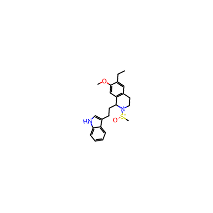 CCc1cc2c(cc1OC)C(CCc1c[nH]c3ccccc13)N([S+](C)[O-])CC2